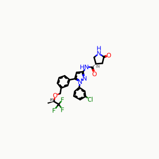 C[C@@H](OCc1cccc(-c2cc(NC(=O)[C@@H]3CNC(=O)C3)nn2-c2cccc(Cl)c2)c1)C(F)(F)F